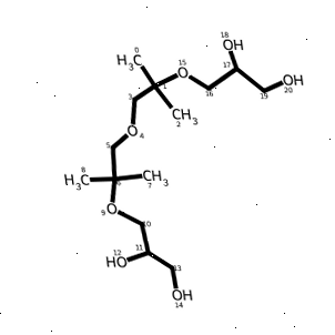 CC(C)(COCC(C)(C)OCC(O)CO)OCC(O)CO